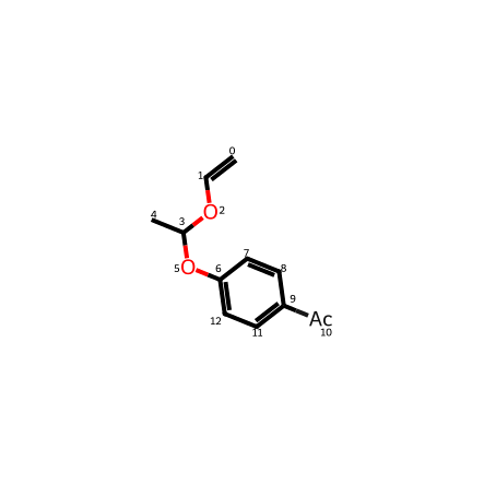 C=COC(C)Oc1ccc(C(C)=O)cc1